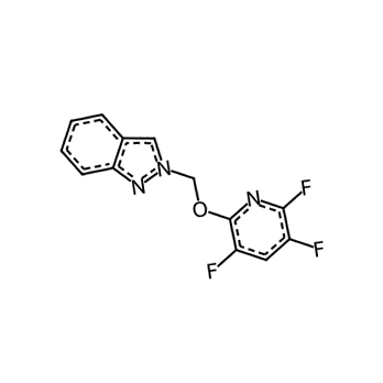 Fc1cc(F)c(OCn2cc3ccccc3n2)nc1F